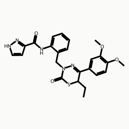 CCC1SC(=O)N(Cc2ccccc2NC(=O)c2cc[nH]n2)N=C1c1ccc(OC)c(OC)c1